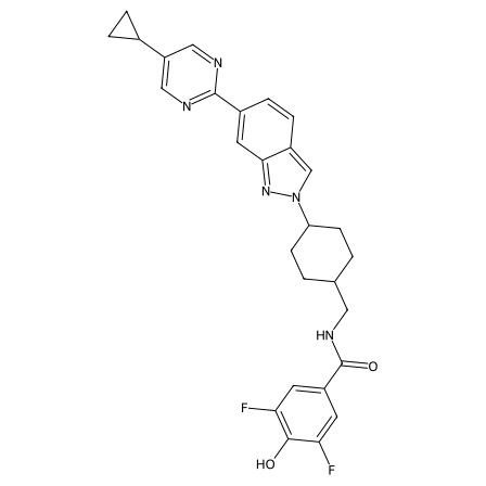 O=C(NCC1CCC(n2cc3ccc(-c4ncc(C5CC5)cn4)cc3n2)CC1)c1cc(F)c(O)c(F)c1